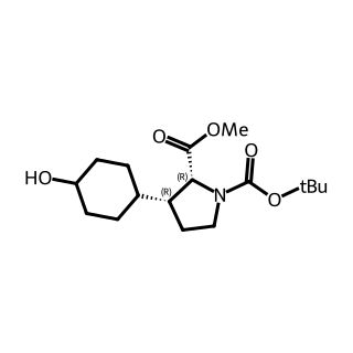 COC(=O)[C@H]1[C@@H](C2CCC(O)CC2)CCN1C(=O)OC(C)(C)C